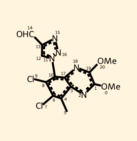 COc1nc2c(C)c(Cl)c(Cl)c(-n3cc(C=O)nn3)c2nc1OC